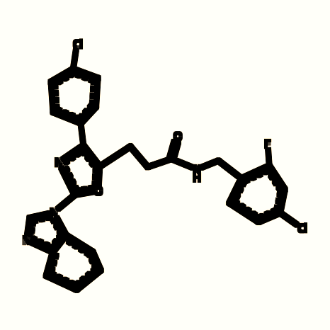 O=C(CCc1oc(-n2cnc3ccccc32)nc1-c1ccc(Cl)cc1)NCc1ccc(Cl)cc1F